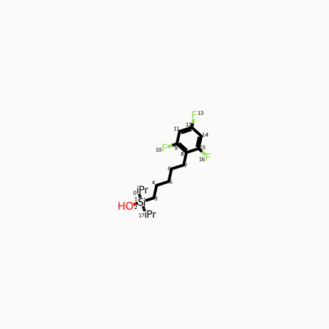 CC(C)[Si](O)(CCCCCc1c(F)cc(F)cc1F)C(C)C